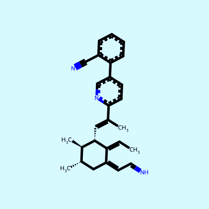 C/C=C1\C(=C/C=N)C[C@H](C)[C@@H](C)[C@@H]1/C=C(\C)c1ccc(-c2ccccc2C#N)cn1